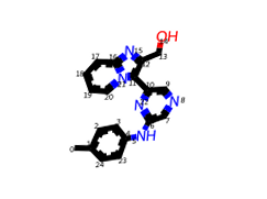 Cc1ccc(Nc2cncc(-c3c(CO)nc4ccccn34)n2)cc1